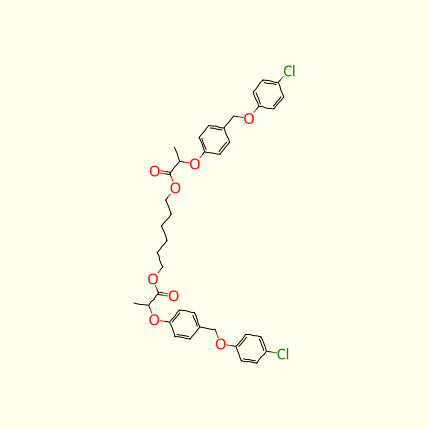 CC(Oc1ccc(COc2ccc(Cl)cc2)cc1)C(=O)OCCCCCCOC(=O)C(C)Oc1ccc(COc2ccc(Cl)cc2)cc1